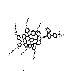 CCCCCCOc1ccc(N(c2ccc(OCCCCCC)cc2)c2c3ccccc3c3c4c(cccc24)C(c2ccc(CCCCCC)cc2)(c2ccc(CCCCCC)cc2)c2cc4c(cc2-3)C(c2ccc(CCCCCC)cc2)(c2ccc(CCCCCC)cc2)c2cccc3c(C#Cc5ccc(-c6ccc(C(=O)O)cc6)c6nsnc56)c5ccccc5c-4c23)cc1